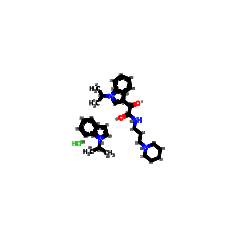 CC(C)n1cc(C(=O)C(=O)NCCCN2CCCCC2)c2ccccc21.CC(C)n1ccc2ccccc21.Cl